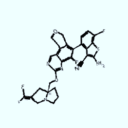 N#Cc1c(N)sc2c(F)ccc(-c3c4c(c5cnc(OC[C@@]67CCCN6CC(=C(F)F)C7)nc5c3F)COC4)c12